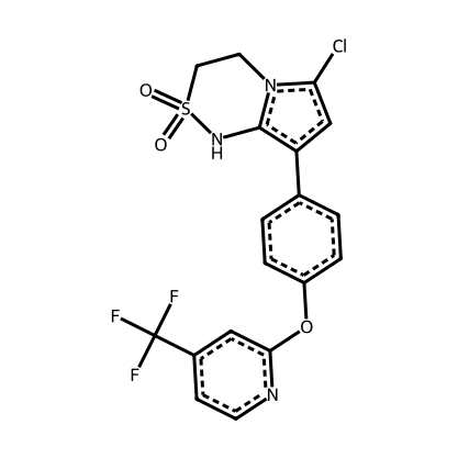 O=S1(=O)CCn2c(Cl)cc(-c3ccc(Oc4cc(C(F)(F)F)ccn4)cc3)c2N1